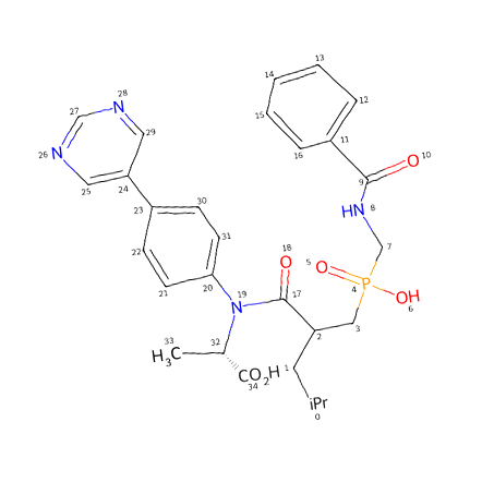 CC(C)CC(CP(=O)(O)CNC(=O)c1ccccc1)C(=O)N(c1ccc(-c2cncnc2)cc1)[C@@H](C)C(=O)O